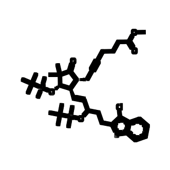 COC(=O)CCCC#CC[C@H]1C(=O)C(C)(C)[C@@H](O[Si](C)(C)C(C)(C)C)[C@@H]1/C=C/C(CCc1sc2ccccc2c1Cl)O[Si](C)(C)C(C)(C)C